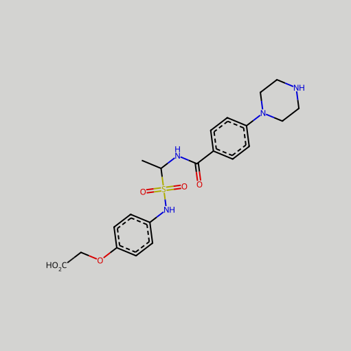 CC(NC(=O)c1ccc(N2CCNCC2)cc1)S(=O)(=O)Nc1ccc(OCC(=O)O)cc1